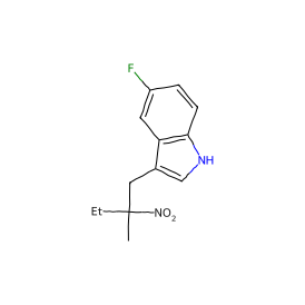 CCC(C)(Cc1c[nH]c2ccc(F)cc12)[N+](=O)[O-]